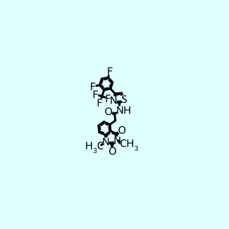 Cn1c(=O)c2c(CC(=O)Nc3nc(-c4cc(F)cc(F)c4C(F)(F)F)cs3)cccc2n(C)c1=O